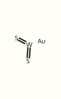 [Au].[S]=[W]=[S]